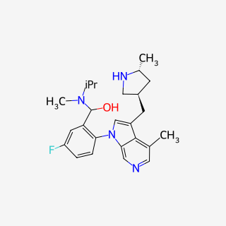 Cc1cncc2c1c(C[C@H]1CN[C@H](C)C1)cn2-c1ccc(F)cc1C(O)N(C)C(C)C